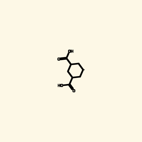 O=C(O)C1C[CH]CC(C(=O)O)C1